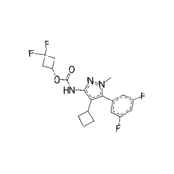 Cn1nc(NC(=O)OC2CC(F)(F)C2)c(C2CCC2)c1-c1cc(F)cc(F)c1